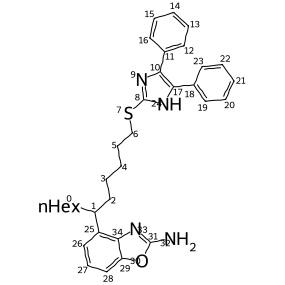 CCCCCCC(CCCCCSc1nc(-c2ccccc2)c(-c2ccccc2)[nH]1)c1cccc2oc(N)nc12